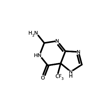 NC1N=C2N=CNC2(C(F)(F)F)C(=O)N1